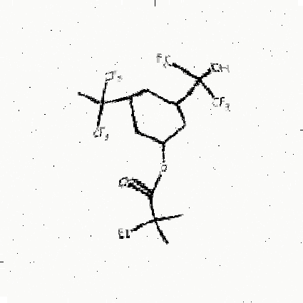 CCC(C)(C)C(=O)OC1CC(C(C)(C(F)(F)F)C(F)(F)F)CC(C(O)(C(F)(F)F)C(F)(F)F)C1